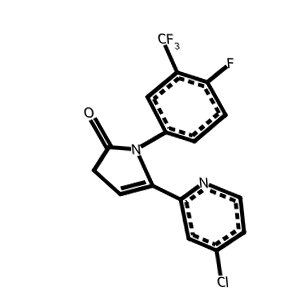 O=C1CC=C(c2cc(Cl)ccn2)N1c1ccc(F)c(C(F)(F)F)c1